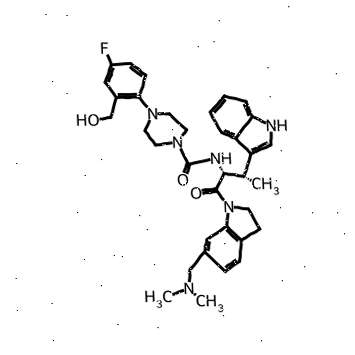 C[C@@H](c1c[nH]c2ccccc12)[C@@H](NC(=O)N1CCN(c2ccc(F)cc2CO)CC1)C(=O)N1CCc2ccc(CN(C)C)cc21